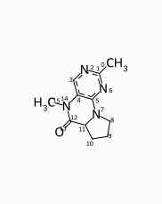 Cc1ncc2c(n1)N1CCCC1C(=O)N2C